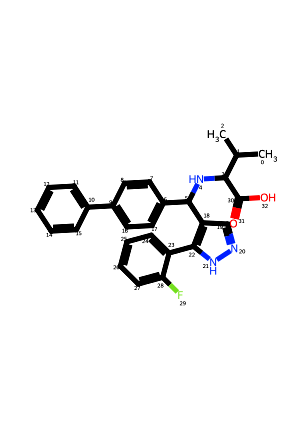 CC(C)C(NC(c1ccc(-c2ccccc2)cc1)c1cn[nH]c1-c1ccccc1F)C(=O)O